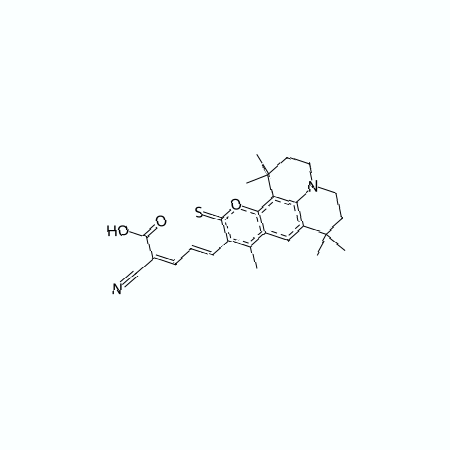 Cc1c(C=CC=C(C#N)C(=O)O)c(=S)oc2c3c4c(cc12)C(C)(C)CCN4CCC3(C)C